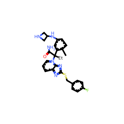 CCC(C(N)=O)(c1cc(NC2CNC2)ccc1C)n1cccc2nc(SCc3ccc(F)cc3)nc1-2